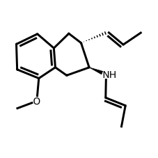 CC=CN[C@H]1Cc2c(cccc2OC)C[C@@H]1C=CC